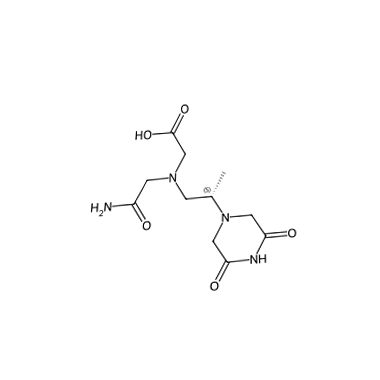 C[C@@H](CN(CC(N)=O)CC(=O)O)N1CC(=O)NC(=O)C1